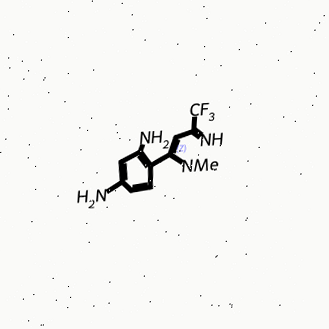 CN/C(=C\C(=N)C(F)(F)F)c1ccc(N)cc1N